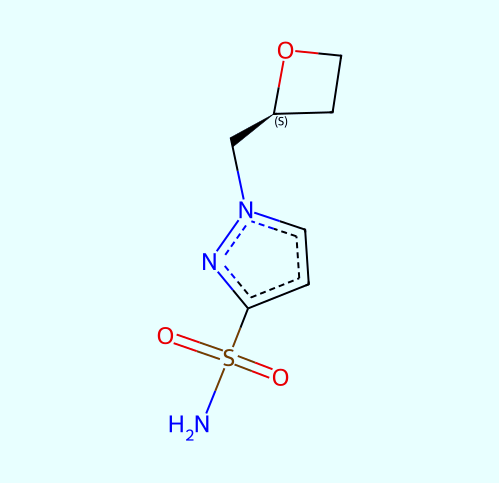 NS(=O)(=O)c1ccn(C[C@@H]2CCO2)n1